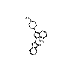 N[N+]12C=CN=CC1=C(C1CCN(C=O)CC1)N=C2c1cc2ccccc2[nH]1